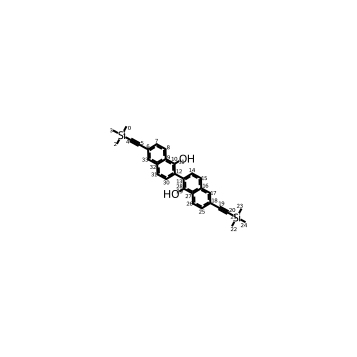 C[Si](C)(C)C#Cc1ccc2c(O)c(-c3ccc4cc(C#C[Si](C)(C)C)ccc4c3O)ccc2c1